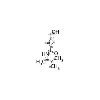 CC(C)[C@@H](C)NC(=O)C12CC(CO)(C1)C2